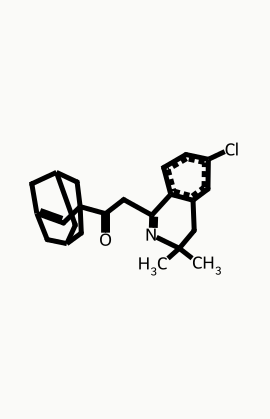 CC1(C)Cc2cc(Cl)ccc2C(CC(=O)C23C=C4CC(CC(C4)C2)C3)=N1